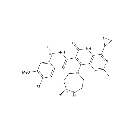 COc1cc([C@H](C)NC(=O)c2c(N3CCN[C@@H](C)CC3)c3cc(C)nc(C4CC4)c3[nH]c2=O)ccc1Cl